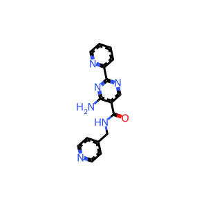 Nc1nc(-c2ccccn2)ncc1C(=O)NCc1ccncc1